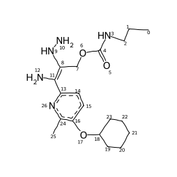 CCCNC(=O)OC/C(NN)=C(/N)c1ccc(OC2CCCCC2)c(C)n1